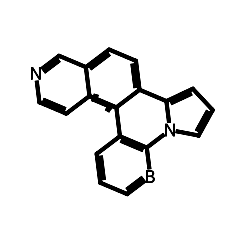 b1cccc2c1-n1cccc1C1=CC=C3C=NC=CC34C=CC=CC124